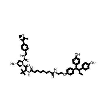 CCC(=C(c1ccc(O)cc1)c1ccc(OCCNC(=O)CCCCCCC(=O)N[C@H](C(=O)N2C[C@H](O)C[C@H]2C(=O)NCc2ccc(-c3scnc3C)cc2)C(C)(C)C)cc1)c1ccc(O)cc1